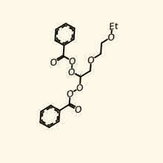 [CH2]COCCOC[C](OOC(=O)c1ccccc1)OOC(=O)c1ccccc1